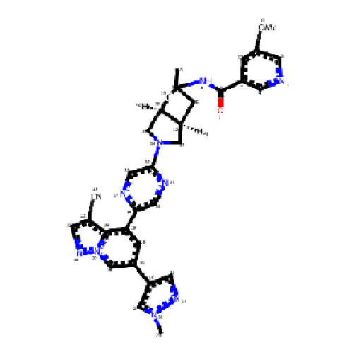 COc1cncc(C(=O)NC2(C)C[C@H]3CN(c4cnc(-c5cc(-c6cnn(C)c6)cn6ncc(C#N)c56)cn4)C[C@H]3C2)c1